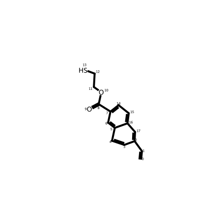 C=Cc1ccc2cc(C(=O)OCCS)ccc2c1